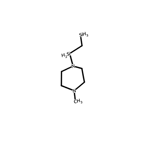 CN1CCN([SiH2]C[SiH3])CC1